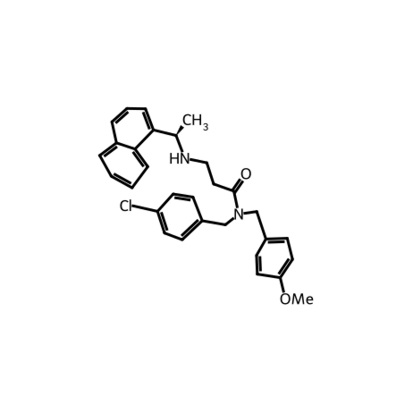 COc1ccc(CN(Cc2ccc(Cl)cc2)C(=O)CCN[C@H](C)c2cccc3ccccc23)cc1